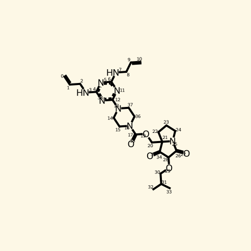 C=CCNc1nc(NCC=C)nc(N2CCN(C(=O)OCC34CCCN3C(=O)C(OCC(C)C)C4=O)CC2)n1